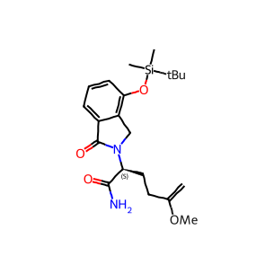 C=C(CC[C@@H](C(N)=O)N1Cc2c(O[Si](C)(C)C(C)(C)C)cccc2C1=O)OC